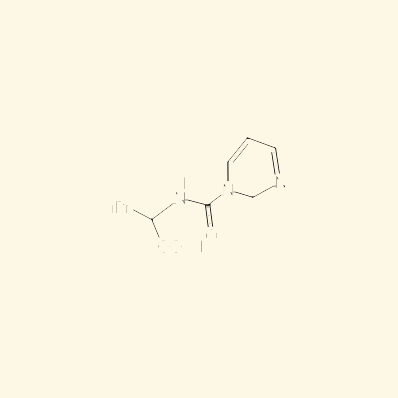 CC(C)C(NC(=O)N1C=CC=NC1)C(=O)O